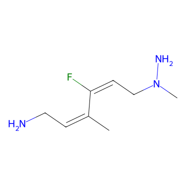 CC(=C/CN)/C(F)=C\CN(C)N